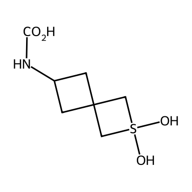 O=C(O)NC1CC2(C1)CS(O)(O)C2